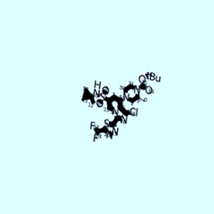 C[C@@H]1CN(c2cc(S(=O)(=O)NC3(C)CC3)cn3c(-c4nnc(C(F)F)s4)nc(Cl)c23)CCN1C(=O)OC(C)(C)C